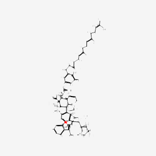 CC[C@]1(O)C[C@@H]2CN(CCc3c([nH]c4ccccc34)[C@@](C(=O)OC)(c3cc4c(cc3OC)N(C)[C@H]3C(O)(C(=O)OC)[C@H](OC(=O)Oc5cc(C)c6c(c5)CC[C@@](C)(CC/C=C(\C)CC/C=C(\C)CCC=C(C)C)O6)[C@]5(CC)C=CCN6CC[C@]43C65)C2)C1